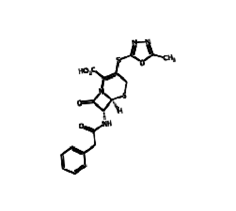 Cc1nnc(SC2=C(C(=O)O)N3C(=O)[C@@H](NC(=O)Cc4ccccc4)[C@@H]3SC2)o1